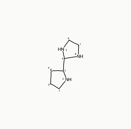 [CH]1CNC(C2NCCN2)S1